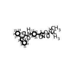 CCN(CC)C(=O)Oc1cc(-c2ccc(NC(=O)C(=O)c3c(-c4ccccc4)cc4ccccn34)cc2)on1